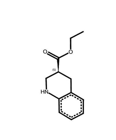 CCOC(=O)[C@@H]1CNc2ccccc2C1